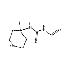 CC1(NC(=O)NC=O)CCNCC1